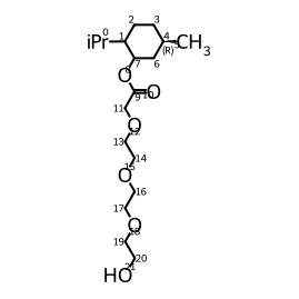 CC(C)C1CC[C@@H](C)CC1OC(=O)COCCOCCOCCO